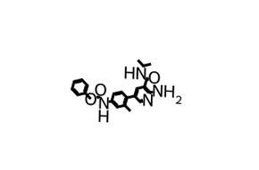 Cc1cc(NC(=O)Oc2ccccc2)ccc1-c1cnc(N)c(C(=O)NC(C)C)c1